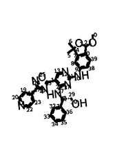 COC1OC(C)(C)c2cc(Nc3ncc(-c4nc(-c5ccncc5)no4)c(N[C@H](CO)c4ccccc4)n3)ccc21